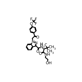 CC(C)(C)[C@H](NC(=O)c1nn(CC(=O)c2ccc(OC(F)(F)F)cc2)c2ccccc12)C(=O)NCCO